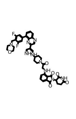 N=C/C(=C\NC1CCN(C(=O)CNc2cccc3c2C(=O)N(C2CCC(=O)NC2=O)C3=O)CC1)c1cnc2cccc(-c3cc(F)c(CN4CCOCC4)c(F)c3)c2n1